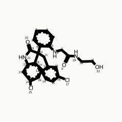 O=C(CNc1ccccc1C1(Cc2cccc(Cl)c2)C(=O)Nc2cc(Cl)ccc21)NCCO